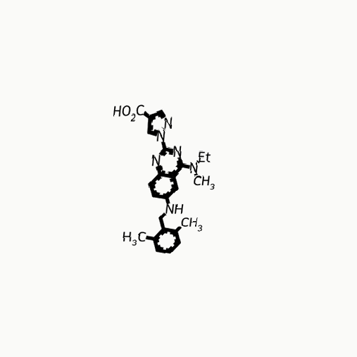 CCN(C)c1nc(-n2cc(C(=O)O)cn2)nc2ccc(NCc3c(C)cccc3C)cc12